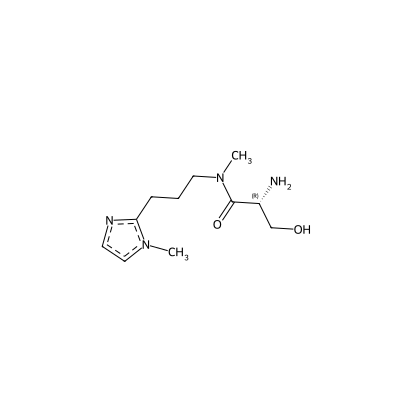 CN(CCCc1nccn1C)C(=O)[C@H](N)CO